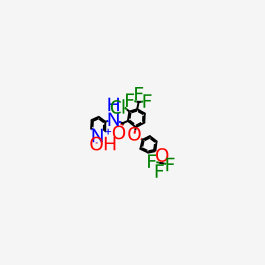 O=C(Nc1ccc[n+](O)c1)c1c(Oc2ccc(OC(F)(F)F)cc2)ccc(C(F)(F)F)c1Cl